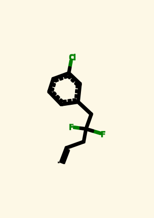 [CH]=CCC(F)(F)Cc1cccc(Cl)c1